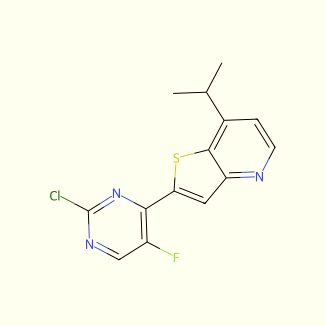 CC(C)c1ccnc2cc(-c3nc(Cl)ncc3F)sc12